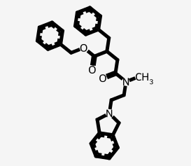 CN(CCN1Cc2ccccc2C1)C(=O)CC(Cc1ccccc1)C(=O)OCc1ccccc1